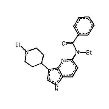 CCN1CCC(c2c[nH]c3ccc(N(CC)C(=O)c4ccccc4)nc23)CC1